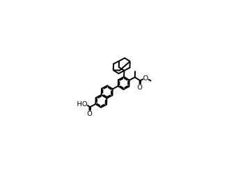 COC(=O)C(C)c1ccc(-c2ccc3cc(C(=O)O)ccc3c2)cc1C12CC3CC(CC(C3)C1)C2